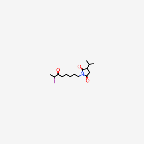 CC(I)C(=O)CCCCCN1C(=O)CC(C(C)C)C1=O